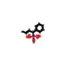 CC=CC(c1ccccc1)P(=O)(O)O